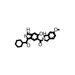 COc1ccc2c(c1)CN(C(=O)c1cc3c(C(=O)C4CCCCC4)n[nH]c3cc1O)C2